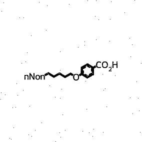 CCCCCCCCCCCCCCOc1ccc(C(=O)O)cc1